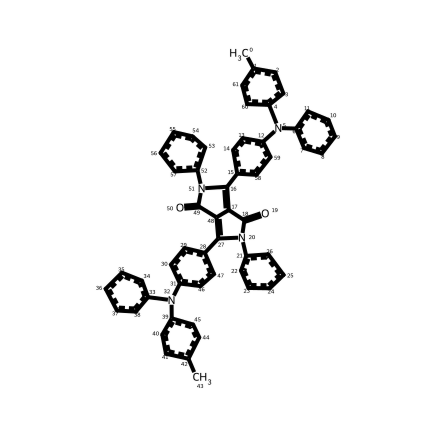 Cc1ccc(N(c2ccccc2)c2ccc(C3=C4C(=O)N(c5ccccc5)C(c5ccc(N(c6ccccc6)c6ccc(C)cc6)cc5)=C4C(=O)N3c3ccccc3)cc2)cc1